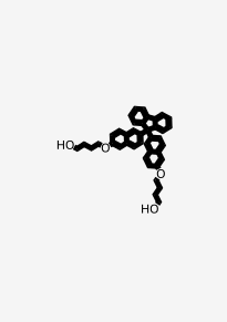 OCCCCOc1ccc2cc(C3(c4ccc5cc(OCCCCO)ccc5c4)c4ccccc4-c4ccccc43)ccc2c1